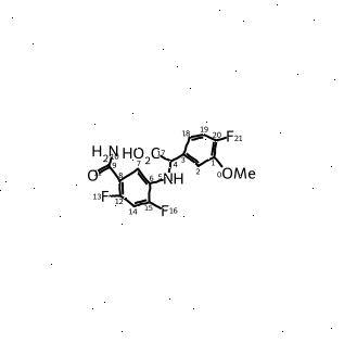 COc1cc(C(Nc2cc(C(N)=O)c(F)cc2F)C(=O)O)ccc1F